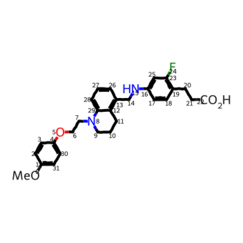 COc1ccc(OCCN2CCCc3c(CNc4ccc(CCC(=O)O)c(F)c4)cccc32)cc1